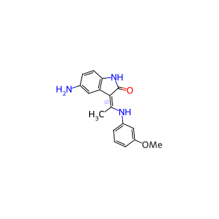 COc1cccc(N/C(C)=C2\C(=O)Nc3ccc(N)cc32)c1